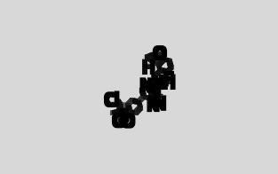 CC1=C(Cl)c2cc(-c3cnc(NCc4c(F)ccc5c4[C@H]4C=C4O5)n4cnnc34)ccc2S1(=O)=O